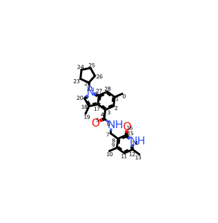 Cc1cc(C(=O)NCc2c(C)cc(C)[nH]c2=O)c2c(C)cn(C3CCCC3)c2c1